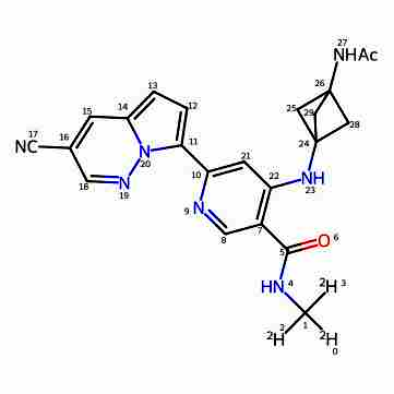 [2H]C([2H])([2H])NC(=O)c1cnc(-c2ccc3cc(C#N)cnn23)cc1NC12CC(NC(C)=O)(C1)C2